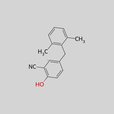 Cc1cccc(C)c1Cc1[c]c(C#N)c(O)cc1